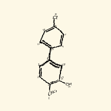 O=Cc1ccc(-c2ccc(Cl)cc2)cc1O